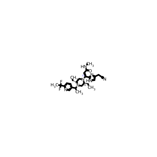 CC[C@H]1CN(C(C)c2ccc(C(C)(F)F)nc2)[C@H](CC)CN1/C(=C/C(=O)NC)c1nc(CC#N)c[nH]1